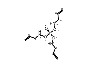 C=CCNOP(=O)(ONCC=C)ONCC=C